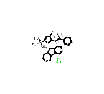 C/[C](c1ccccc1)=[Zr](\[C]1=CC([Si](C)(C)C)=CC1C)[c]1cccc2c1Cc1ccccc1-2.Cl.Cl